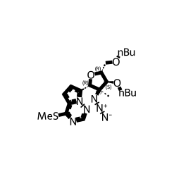 CCCCOC[C@H]1O[C@@H](c2ccc3c(SC)ncnn23)[C@](C)(N=[N+]=[N-])[C@@H]1OCCCC